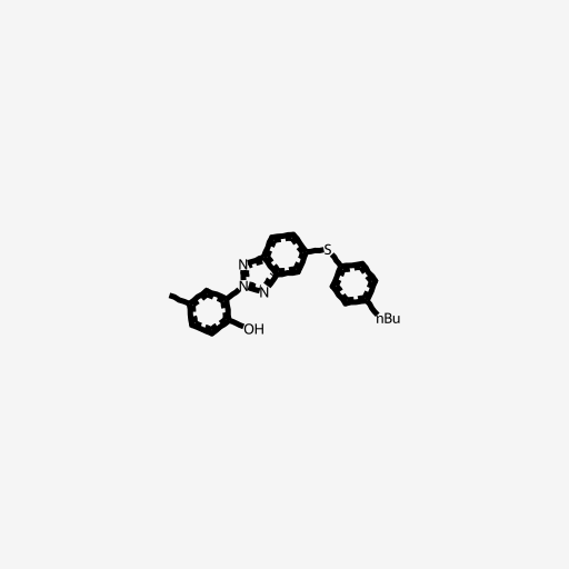 CCCCc1ccc(Sc2ccc3nn(-c4cc(C)ccc4O)nc3c2)cc1